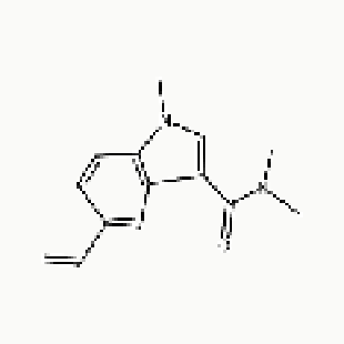 C=Cc1ccc2c(c1)c(C(=O)N(C)C)cn2C